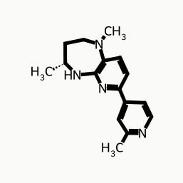 Cc1cc(-c2ccc3c(n2)N[C@H](C)CCN3C)ccn1